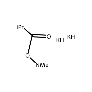 CNOC(=O)C(C)C.[KH].[KH]